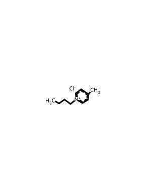 CCCC[n+]1ccc(C)cc1.[Cl-]